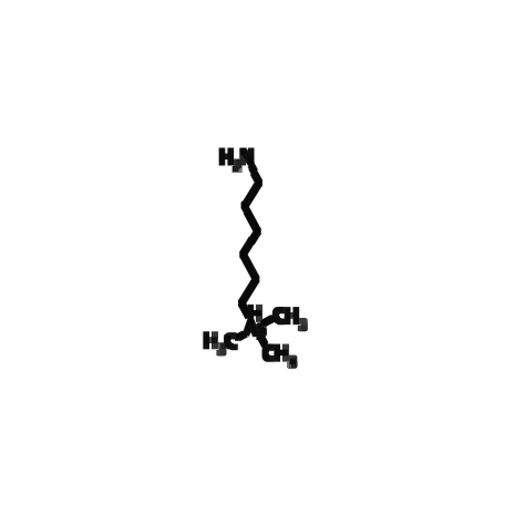 C[AsH](C)(C)CCCCCCN